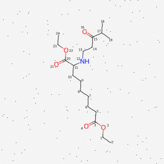 CCOC(=O)CCCCCCC(NCCC(=O)C(C)C)C(=O)OCC